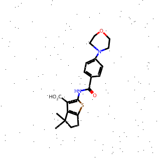 CC1(C)CCc2sc(NC(=O)c3ccc(N4CCOCC4)cc3)c(C(=O)O)c21